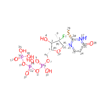 C[C@@]1(F)C(O)[C@@H](COP(=O)(O)OP(=O)(O)OP(=O)(O)O)O[C@H]1n1ccc(=O)[nH]c1=S